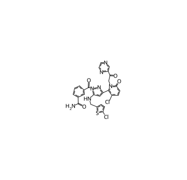 NC(=O)c1cccc(C(=O)n2nc(-c3c(Cl)ccc(=O)n3CC(=O)c3cnccn3)cc2NCc2ccc(Cl)s2)c1